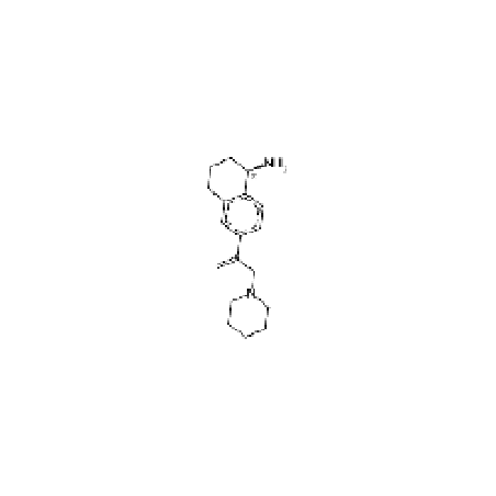 C=C(CN1CCCCC1)c1ccc2c(c1)CCC[C@H]2N